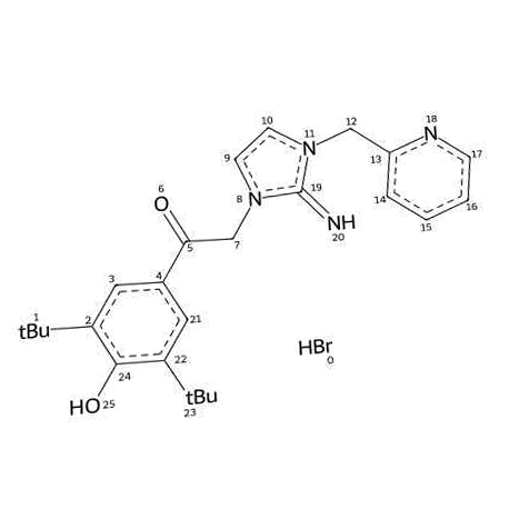 Br.CC(C)(C)c1cc(C(=O)Cn2ccn(Cc3ccccn3)c2=N)cc(C(C)(C)C)c1O